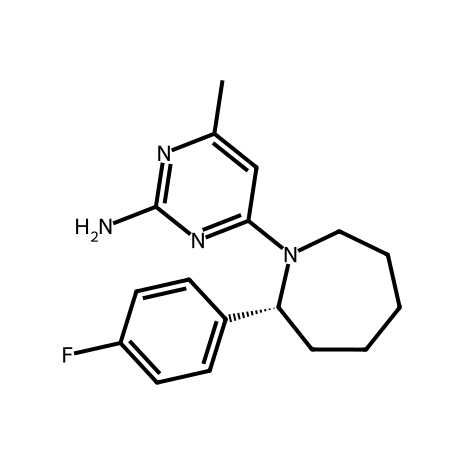 Cc1cc(N2CCCCC[C@@H]2c2ccc(F)cc2)nc(N)n1